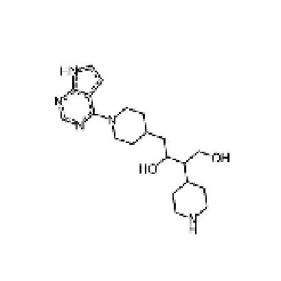 OCC(C(O)CC1CCN(c2ncnc3[nH]ccc23)CC1)C1CCNCC1